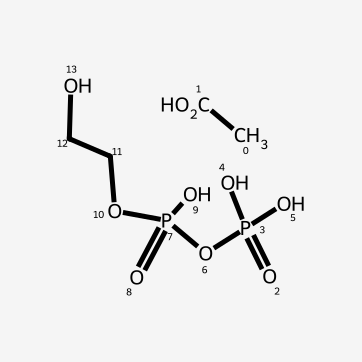 CC(=O)O.O=P(O)(O)OP(=O)(O)OCCO